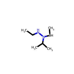 CBN(NCC)C(C)C